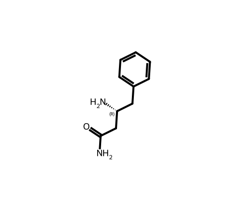 NC(=O)C[C@H](N)Cc1ccccc1